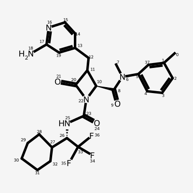 Cc1cccc(N(C)C(=O)[C@@H]2C(Cc3ccnc(N)c3)C(=O)N2C(=O)N[C@@H](C2CCCCC2)C(F)(F)F)c1